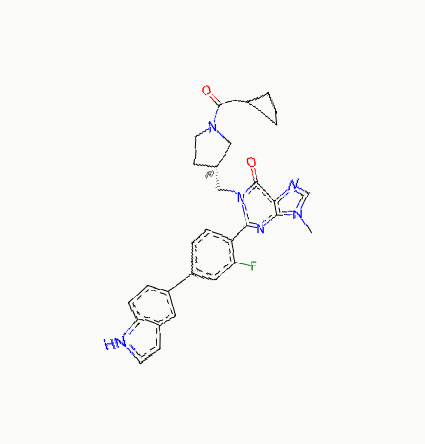 Cn1cnc2c(=O)n(C[C@@H]3CCN(C(=O)C4CC4)C3)c(-c3ccc(-c4ccc5[nH]ccc5c4)cc3F)nc21